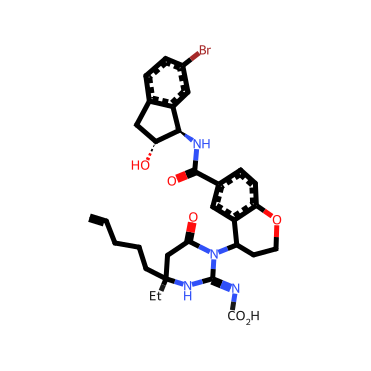 C=CCCCC1(CC)CC(=O)N(C2CCOc3ccc(C(=O)N[C@@H]4c5cc(Br)ccc5C[C@H]4O)cc32)C(=NC(=O)O)N1